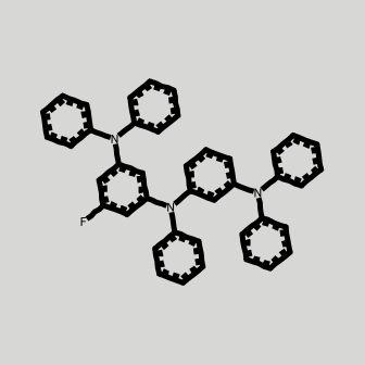 Fc1cc(N(c2ccccc2)c2ccccc2)cc(N(c2ccccc2)c2cccc(N(c3ccccc3)c3ccccc3)c2)c1